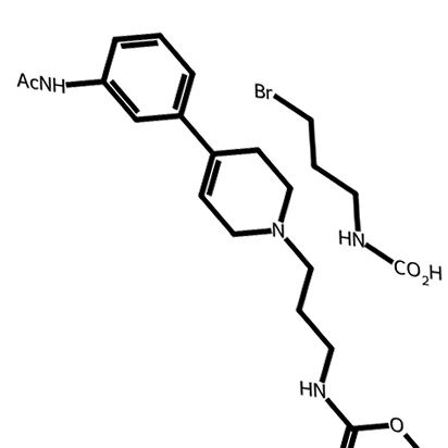 CC(=O)Nc1cccc(C2=CCN(CCCNC(=O)OC(C)(C)C)CC2)c1.O=C(O)NCCCBr